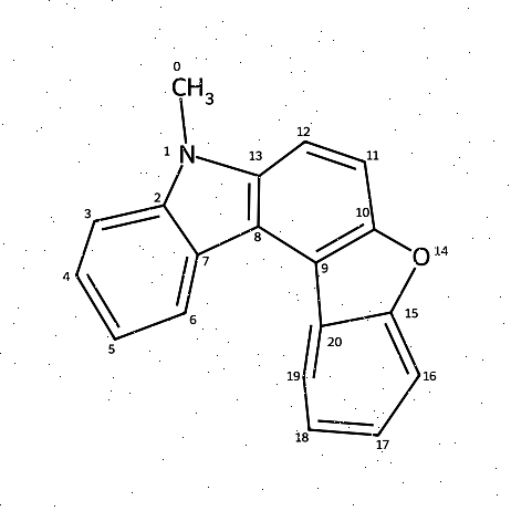 Cn1c2ccccc2c2c3c(ccc21)oc1ccccc13